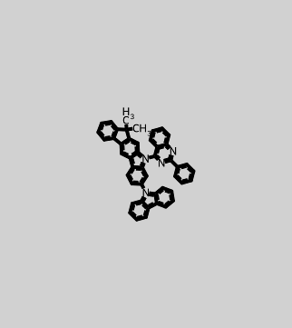 CC1(C)c2ccccc2-c2cc3c4ccc(-n5c6ccccc6c6ccccc65)cc4n(-c4nc(-c5ccccc5)nc5ccccc45)c3cc21